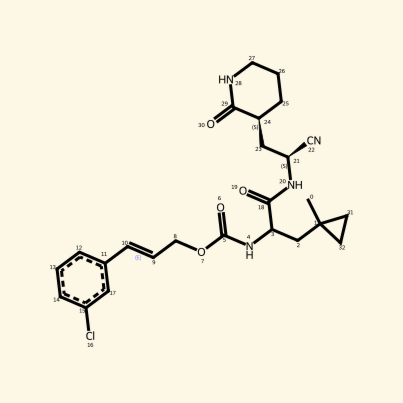 CC1(CC(NC(=O)OC/C=C/c2cccc(Cl)c2)C(=O)N[C@H](C#N)C[C@@H]2CCCNC2=O)CC1